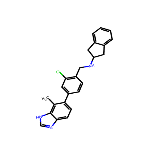 Cc1c(-c2ccc(CNC3Cc4ccccc4C3)c(Cl)c2)ccc2nc[nH]c12